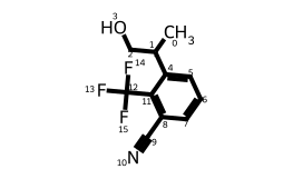 C[C](CO)c1cccc(C#N)c1C(F)(F)F